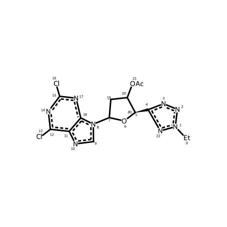 CCn1nnc([C@H]2OC(n3cnc4c(Cl)nc(Cl)nc43)[CH]C2OC(C)=O)n1